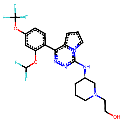 OCCN1CCC[C@@H](Nc2nnc(-c3ccc(OC(F)(F)F)cc3OC(F)F)c3cccn23)C1